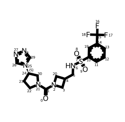 O=C(N1CC(CNS(=O)(=O)c2cccc(C(F)(F)F)c2)C1)N1CC[C@H](n2cnnc2)C1